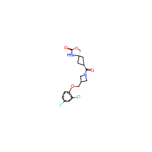 O=C1N[C@]2(CO1)C[C@H](C(=O)N1CC(COc3ccc(F)cc3Cl)C1)C2